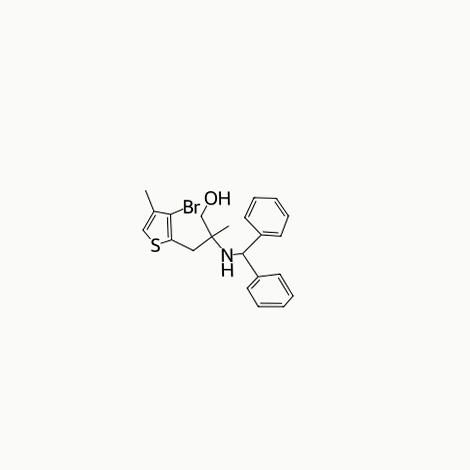 Cc1csc(CC(C)(CO)NC(c2ccccc2)c2ccccc2)c1Br